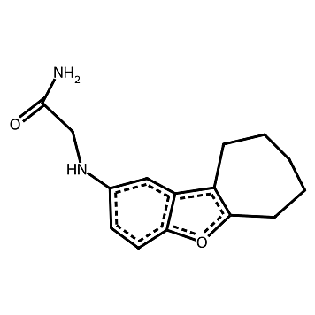 NC(=O)CNc1ccc2oc3c(c2c1)CCCCC3